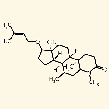 CC(C)=CCOC1CC[C@H]2[C@@H]3C(C)CC4N(C)C(=O)CC[C@]4(C)[C@@H]3CC[C@]12C